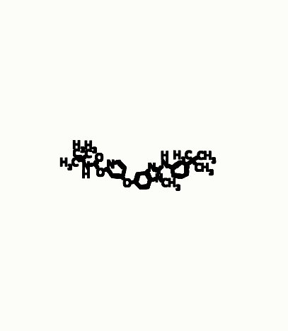 Cn1c(Nc2cccc(C(C)(C)C)c2)nc2cc(Oc3ccnc(OC(=O)NC(C)(C)C)c3)ccc21